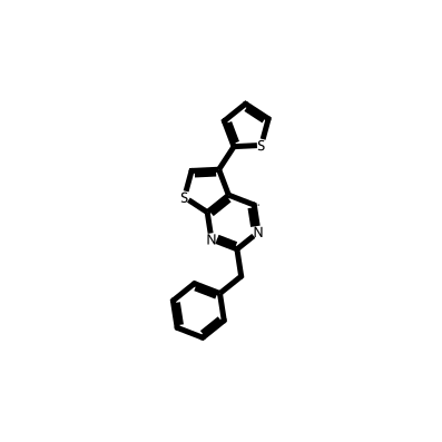 [c]1nc(Cc2ccccc2)nc2scc(-c3cccs3)c12